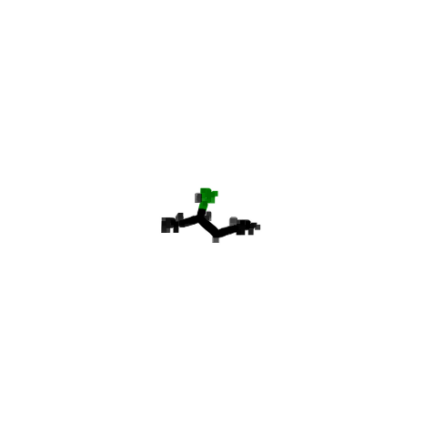 C[C](C)CC(Br)C(C)C